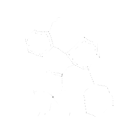 CC(C)(C)OC(=O)c1c(-c2ccccc2F)ccnc1C1CCOCC1